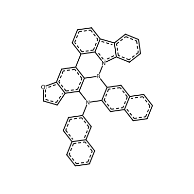 c1ccc2cc(N3c4cc5ccccc5cc4B4c5c(cc6occc6c53)-c3cccc5c6ccccc6n4c35)ccc2c1